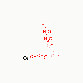 O.O.O.O.O.O.O.O.[Ce]